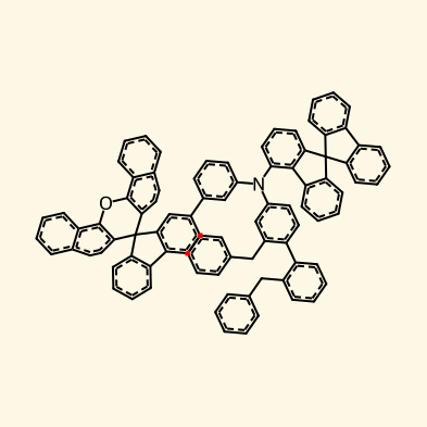 c1ccc(Cc2ccccc2-c2ccc(N(c3cccc(-c4ccc5c(c4)C4(c6ccccc6-5)c5ccc6ccccc6c5Oc5c4ccc4ccccc54)c3)c3cccc4c3-c3ccccc3C43c4ccccc4-c4ccccc43)cc2Cc2ccccc2)cc1